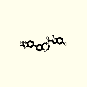 Cc1nc2cc(-c3ccc4c(c3)CN(C(=O)c3cc5cc(Cl)ccc5n3C)CCO4)ccc2[nH]1